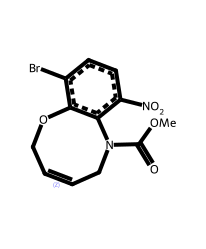 COC(=O)N1C/C=C\COc2c(Br)ccc([N+](=O)[O-])c21